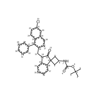 CC(C)(C)OC(=O)NC1CC2(C1)C(=O)N(Cc1ncc3cc(Cl)ccc3c1-c1cncnc1)c1cnccc12